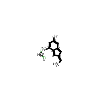 CC=C1[C]=c2cc(C(C)C)cc(C(C)C)c2=C1.[Cl][Hf][Cl]